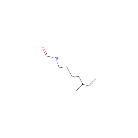 C=CC(C)CCCCNC=O